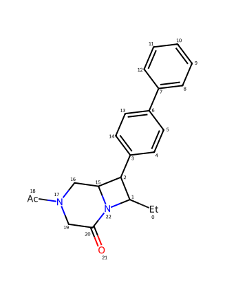 CCC1C(c2ccc(-c3ccccc3)cc2)C2CN(C(C)=O)CC(=O)N12